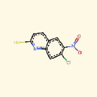 O=[N+]([O-])c1cc2ccc(S)nc2cc1Cl